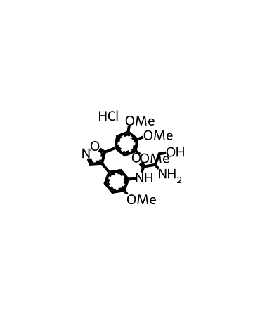 COc1ccc(-c2cnoc2-c2cc(OC)c(OC)c(OC)c2)cc1NC(=O)C(N)CO.Cl